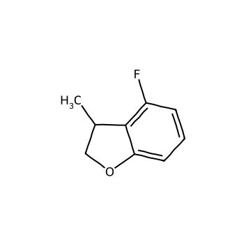 CC1COc2cccc(F)c21